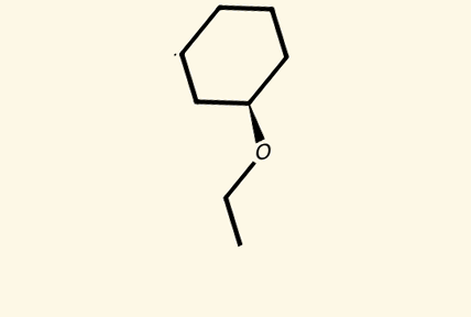 CCO[C@H]1C[CH]CCC1